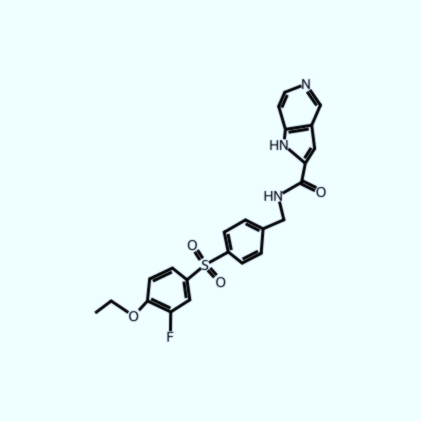 CCOc1ccc(S(=O)(=O)c2ccc(CNC(=O)c3cc4cnccc4[nH]3)cc2)cc1F